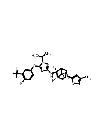 Cc1cc(N2CC3[C@@H](Nc4nc(Oc5ccc(F)c(C(F)(F)F)c5)n(C(C)C)n4)[C@H](C2)[C@H]3C)sn1